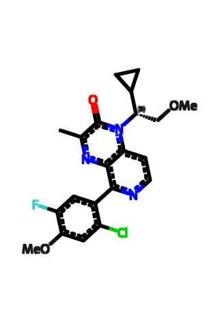 COC[C@@H](C1CC1)n1c(=O)c(C)nc2c(-c3cc(F)c(OC)cc3Cl)nccc21